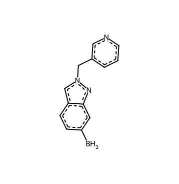 Bc1ccc2cn(Cc3cccnc3)nc2c1